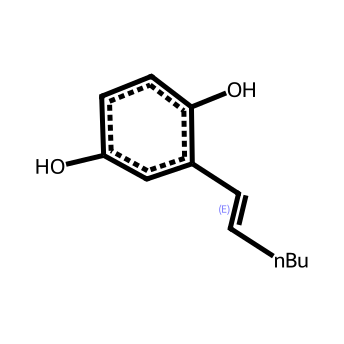 CCCC/C=C/c1cc(O)ccc1O